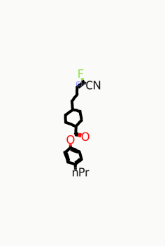 CCCc1ccc(OC(=O)C2CCC(CC/C=C(/F)C#N)CC2)cc1